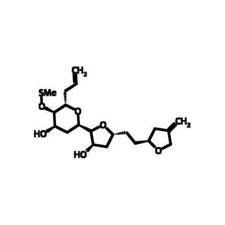 C=CC[C@@H]1O[C@@H](C2O[C@H](CC[C@H]3CC(=C)CO3)C[C@H]2O)C[C@@H](O)[C@H]1OSC